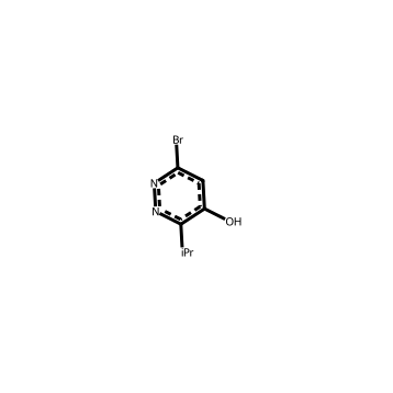 CC(C)c1nnc(Br)cc1O